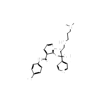 CN(C)CCCNCC(=O)C(N)(Sc1ncccc1C(=O)Nc1ccc(Cl)cc1)c1ccncc1